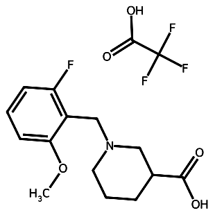 COc1cccc(F)c1CN1CCCC(C(=O)O)C1.O=C(O)C(F)(F)F